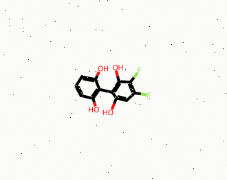 Oc1cccc(O)c1-c1c(O)cc(F)c(F)c1O